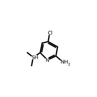 C[SH](C)c1cc(Cl)cc(N)n1